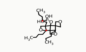 CCCCCC1(C(OP(O)O)(C2(CCCCC)COC2)C2(CCCCC)COC2)COC1